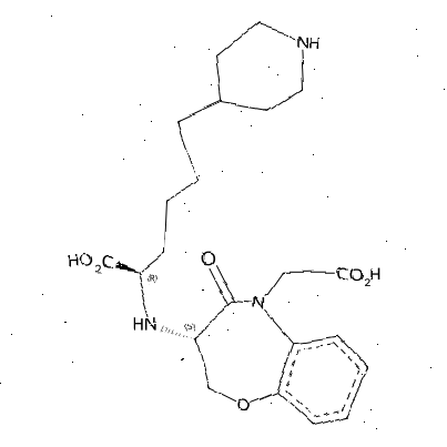 O=C(O)CN1C(=O)[C@@H](N[C@H](CCCCC2CCNCC2)C(=O)O)COc2ccccc21